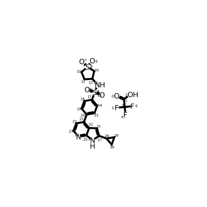 O=C(O)C(F)(F)F.O=S1(=O)CCC(NS(=O)(=O)c2ccc(-c3ccnc4[nH]c(C5CC5)cc34)cc2)C1